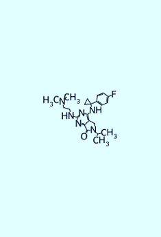 CC(C)N1Cc2c(NC3(c4ccc(F)cc4)CC3)nc(NCCN(C)C)nc2C1=O